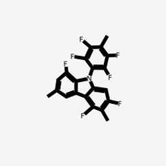 Cc1cc(F)c2c(c1)c1c(F)c(C)c(F)cc1n2-c1c(F)c(F)c(C)c(F)c1F